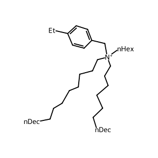 CCCCCCCCCCCCCCCCCC[N+](CCCCCC)(CCCCCCCCCCCCCCCC)Cc1ccc(CC)cc1